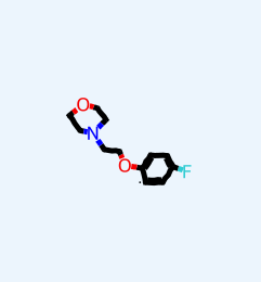 Fc1c[c]c(OCCN2CCOCC2)cc1